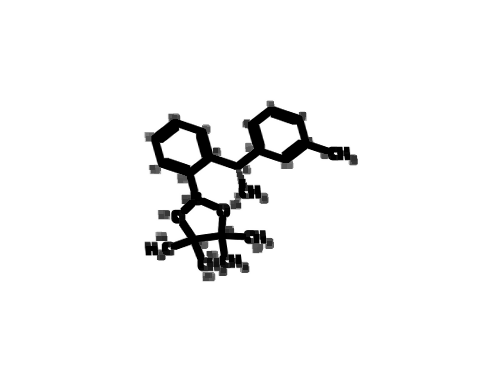 Cc1cccc([C@H](C)c2ccccc2B2OC(C)(C)C(C)(C)O2)c1